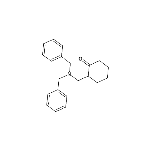 O=C1CCCCC1CN(Cc1ccccc1)Cc1ccccc1